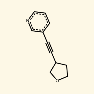 C(#CC1CCOC1)c1cccnc1